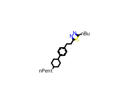 CCCCCC1CCC(c2ccc(CCc3nnc(CCCC)s3)cc2)CC1